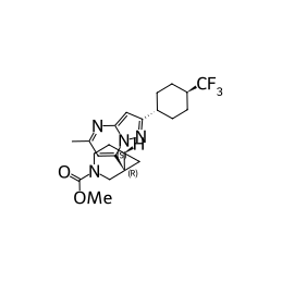 COC(=O)N1CC[C@@H]2C[C@]2(c2cc(C)nc3cc([C@H]4CC[C@H](C(F)(F)F)CC4)nn23)C1